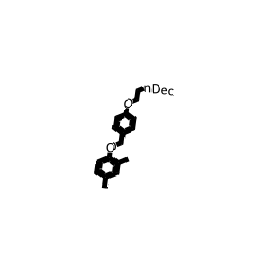 CCCCCCCCCCCCOc1ccc(COc2ccc(C)cc2C)cc1